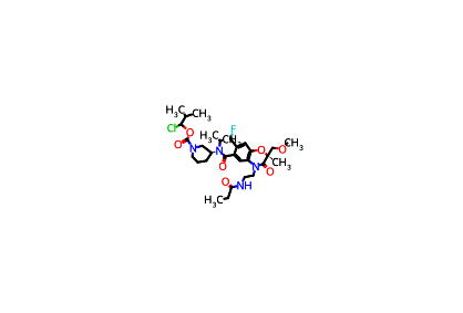 CCC(=O)NCCN1C(=O)[C@](C)(COC)Oc2cc(CF)c(C(=O)N(C(C)C)[C@@H]3CCCN(C(=O)OC(Cl)C(C)C)C3)cc21